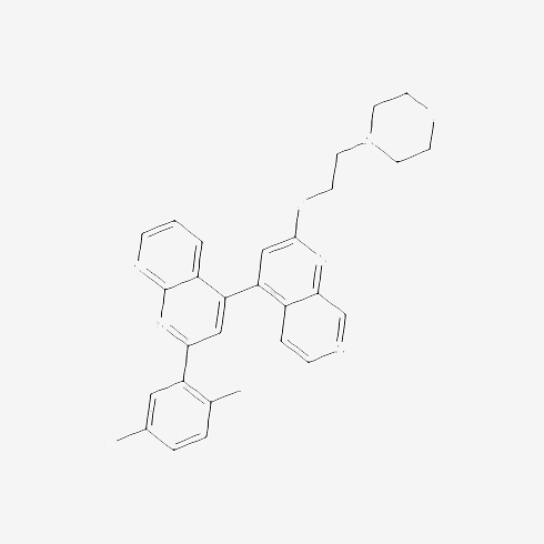 Fc1ccc(Cl)cc1-c1cc(-c2cc(OCCN3CCOCC3)nc3cnccc23)c2cccnc2n1